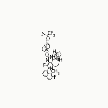 Cc1c(F)ccc2cccc(-c3nc4c5c(nc(OC[C@@]67CCCN6[C@H](COC(C6CC6)C(F)(F)F)CC7)nc5c3F)N3C[C@@H]5CCC(N5)[C@H]3CCC4)c12